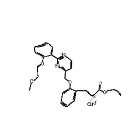 CCOC(=O)[C@H](O)Cc1ccccc1OCc1ccnc(-c2ccccc2OCCOC)n1